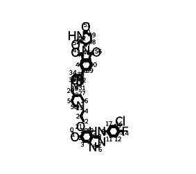 COc1cc2ncnc(Nc3ccc(F)c(Cl)c3)c2cc1OCCCN1CCC(CN2CC3CCC2CN3c2ccc3c(c2)C(=O)N(C2CCC(=O)NC2=O)C3=O)CC1